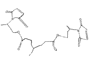 CC(CCC(=O)OCC(C)N1C(=O)C=CC1=O)CC(=O)OCC(C)N1C(=O)C=CC1=O